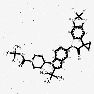 CC(C)(C)OC(=O)N1CCC(n2c(C(C)(C)C)cc3cc(NC(=O)C4(c5ccc6c(c5)OC(F)(F)O6)CC4)ccc32)CC1